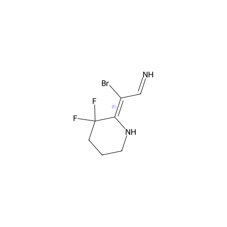 N=C/C(Br)=C1\NCCCC1(F)F